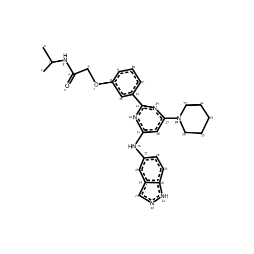 CC(C)NC(=O)COc1cccc(-c2nc(Nc3ccc4[nH]ncc4c3)cc(N3CCCCC3)n2)c1